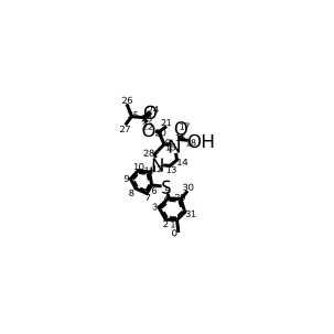 Cc1ccc(Sc2ccccc2N2CCN(C(=O)O)C(C(C)OC(=O)C(C)C)C2)c(C)c1